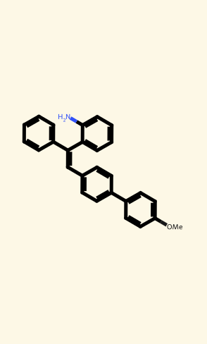 COc1ccc(-c2ccc(C=C(c3ccccc3)c3ccccc3N)cc2)cc1